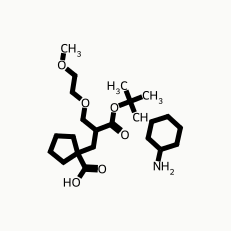 COCCOCC(CC1(C(=O)O)CCCC1)C(=O)OC(C)(C)C.NC1CCCCC1